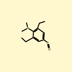 CCc1cc(P=O)cc(CC)c1N(C)C